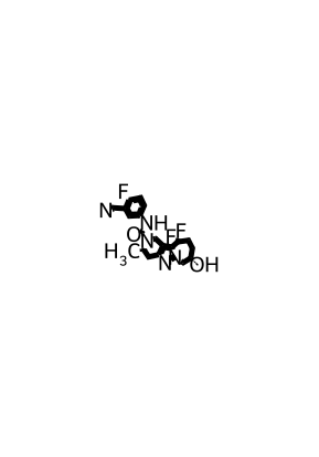 C[C@@H]1Cc2nn3c(c2CN1C(=O)Nc1ccc(F)c(C#N)c1)C(F)(F)CC[C@H](O)C3